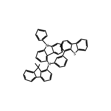 CC1(C)c2ccccc2-c2cccc(N(c3cccc(-c4cccc5c4sc4ccccc45)c3)c3cccc4c3c3ccccc3n4-c3ccccc3)c21